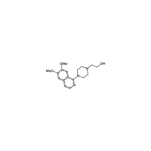 COc1cc2ccnc(N3CCN(CCO)CC3)c2cc1OC